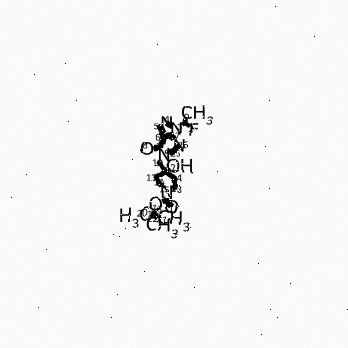 CC(F)n1ncc2c(=O)n(CC3(O)CCN(C(=O)OC(C)(C)C)CC3)cnc21